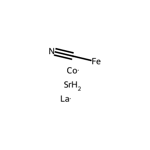 N#[C][Fe].[Co].[La].[SrH2]